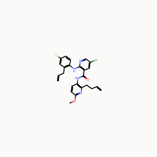 C=CCCc1nc(OC)ccc1NC(=O)c1cc(Cl)cnc1Nc1ccc(F)cc1CC=C